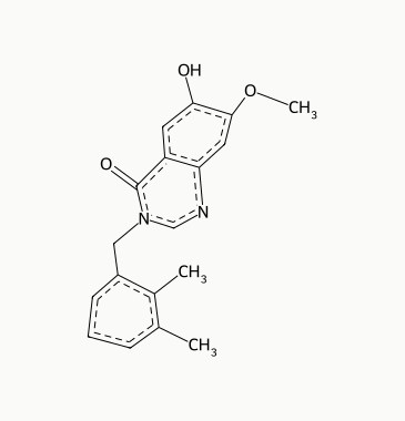 COc1cc2ncn(Cc3cccc(C)c3C)c(=O)c2cc1O